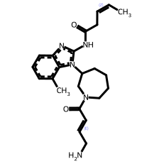 C/C=C\CC(=O)Nc1nc2cccc(C)c2n1C1CCCCN(C(=O)/C=C/CN)C1